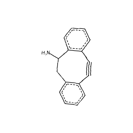 NC1Cc2ccccc2C#Cc2ccccc21